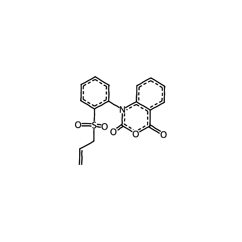 C=CCS(=O)(=O)c1ccccc1-n1c(=O)oc(=O)c2ccccc21